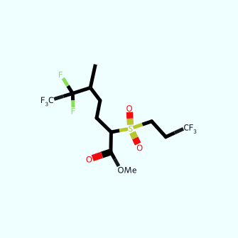 COC(=O)C(CCC(C)C(F)(F)C(F)(F)F)S(=O)(=O)CCC(F)(F)F